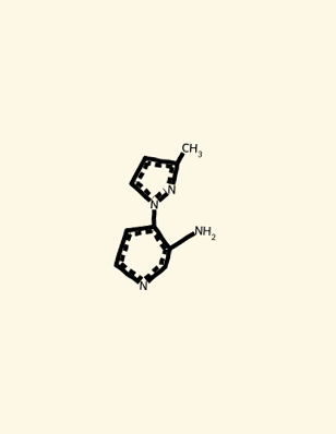 Cc1ccn(-c2ccncc2N)n1